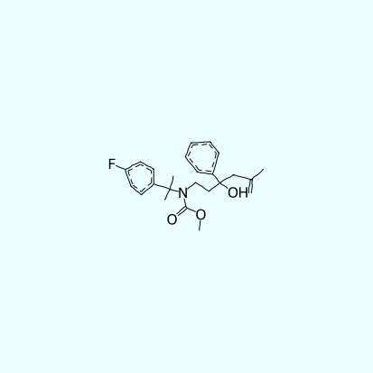 C=C(C)CC(O)(CCN(C(=O)OC)C(C)(C)c1ccc(F)cc1)c1ccccc1